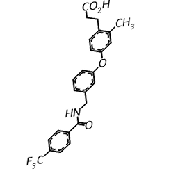 Cc1cc(Oc2cccc(CNC(=O)c3ccc(C(F)(F)F)cc3)c2)ccc1CCC(=O)O